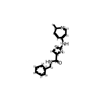 CC1C=CC(Nc2nc(C(=O)NCc3ccccc3)cs2)=CC=N1